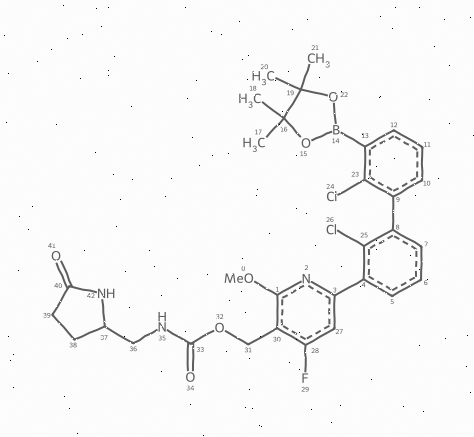 COc1nc(-c2cccc(-c3cccc(B4OC(C)(C)C(C)(C)O4)c3Cl)c2Cl)cc(F)c1COC(=O)NCC1CCC(=O)N1